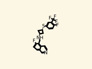 Fc1ccc(S[C@H]2C[C@H](NCc3c(F)ccc4cnccc34)C2)cc1C(F)(F)F